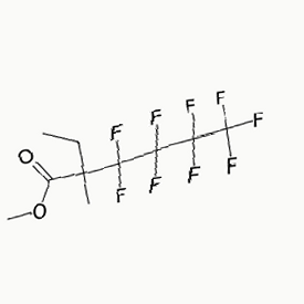 CCC(C)(C(=O)OC)C(F)(F)C(F)(F)C(F)(F)C(F)(F)F